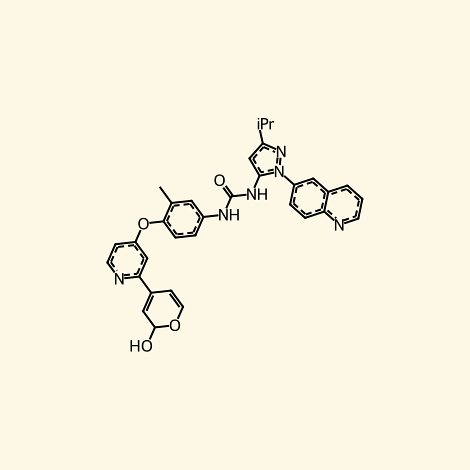 Cc1cc(NC(=O)Nc2cc(C(C)C)nn2-c2ccc3ncccc3c2)ccc1Oc1ccnc(C2=CC(O)OC=C2)c1